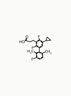 Cc1ccc(F)c(C)c1-c1cc(C2CC2)c(F)c(CCC(=O)O)c1F